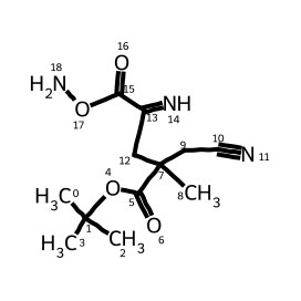 CC(C)(C)OC(=O)C(C)(CC#N)CC(=N)C(=O)ON